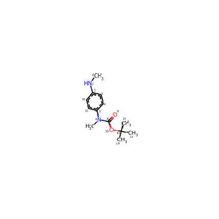 CNc1ccc(N(C)C(=O)OC(C)(C)C)cc1